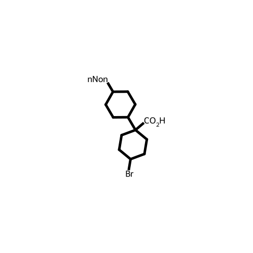 CCCCCCCCCC1CCC(C2(C(=O)O)CCC(Br)CC2)CC1